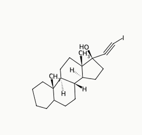 C[C@]12CCCCC1CC[C@@H]1[C@@H]2CC[C@@]2(C)[C@H]1CC[C@@]2(O)C#CI